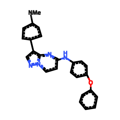 CNc1ccc(-c2cnn3ccc(Nc4ccc(Oc5ccccc5)cc4)nc23)cc1